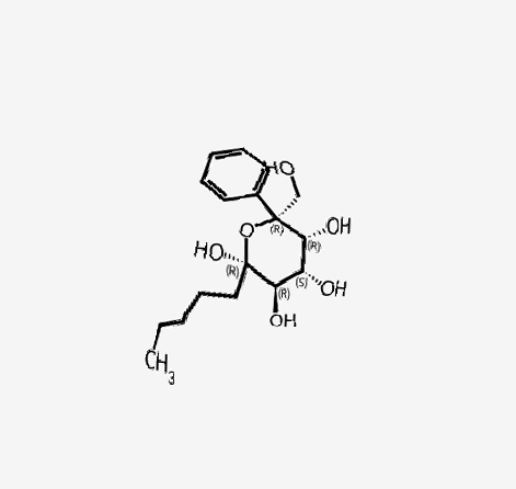 CCCCC[C@@]1(O)O[C@@](CO)(c2ccccc2)[C@H](O)[C@H](O)[C@H]1O